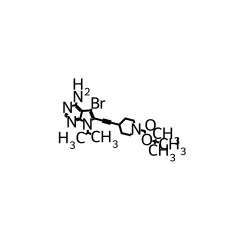 CC(C)n1c(C#CC2CCN(C(=O)OC(C)(C)C)CC2)c(Br)c2c(N)ncnc21